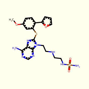 COc1ccc(-c2ccco2)c(Sc2nc3c(N)ncnc3n2CCNCCNS(N)(=O)=O)c1